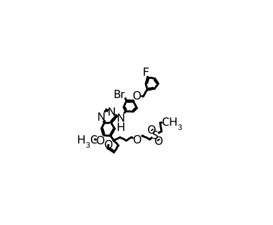 CCCS(=O)(=O)CCOCCCC1(c2cc3c(Nc4ccc(OCc5cccc(F)c5)c(Br)c4)ncnc3cc2OC)CC=CO1